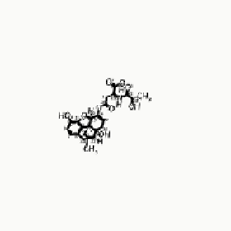 CC1CC[C@]23c4c5ccc(O)c4O[C@H]2C(OC(=O)C[C@H](NC(=O)[C@H](C)O)C(=O)O)=CC[C@@]3(O)[C@H]1C5